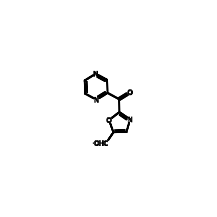 O=[C]c1cnc(C(=O)c2cnccn2)o1